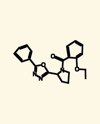 CCOc1ccccc1C(=O)N1CCCC1c1nnc(-c2ccccc2)o1